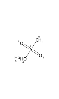 CS(=O)(=O)O.[Ho]